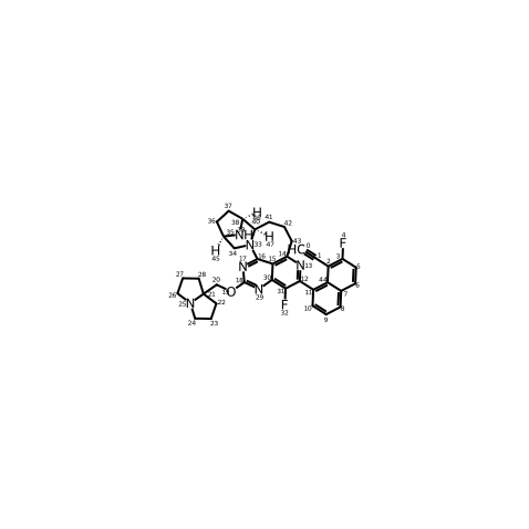 C#Cc1c(F)ccc2cccc(-c3nc4c5c(nc(OCC67CCCN6CCC7)nc5c3F)N3C[C@H]5CC[C@H](N5)[C@H]3CCC4)c12